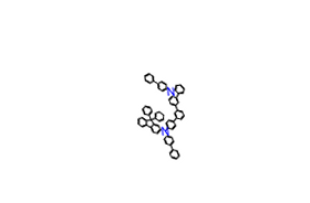 C1=CC(C2(c3ccccc3)c3ccccc3-c3ccc(N(c4ccc(-c5ccccc5)cc4)c4ccc(-c5cccc(-c6ccc7c(c6)c6ccccc6n7-c6ccc(-c7ccccc7)cc6)c5)cc4)cc32)=CCC1